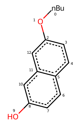 CCCCOc1ccc2ccc(O)cc2c1